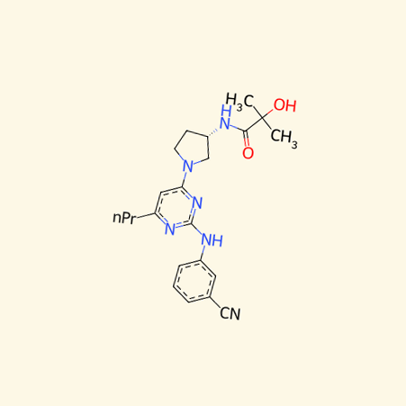 CCCc1cc(N2CC[C@H](NC(=O)C(C)(C)O)C2)nc(Nc2cccc(C#N)c2)n1